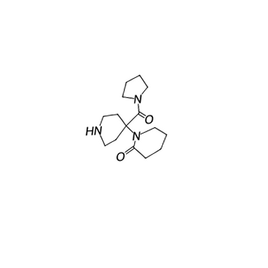 O=C1CCCCN1C1(C(=O)N2CCCC2)CCNCC1